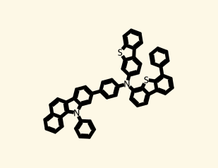 c1ccc(-c2cccc3c2sc2c(N(c4ccc(-c5ccc6c7ccc8ccccc8c7n(-c7ccccc7)c6c5)cc4)c4ccc5c(c4)sc4ccccc45)cccc23)cc1